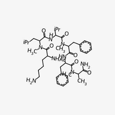 CC(=O)NC(CCCCN)C(=O)N(C)C(CC(C)C)C(=O)NC(C(=O)N(C)C(Cc1ccccc1)C(=O)NC(Cc1ccccc1)C(=O)N(C)C(C)C(N)=O)C(C)C